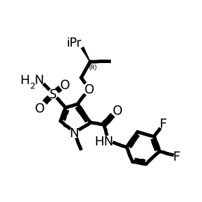 CC(C)[C@@H](C)COc1c(S(N)(=O)=O)cn(C)c1C(=O)Nc1ccc(F)c(F)c1